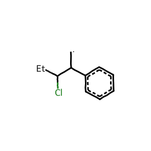 [CH2]C(c1ccccc1)C(Cl)CC